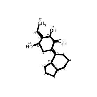 C=C1C(=C2CCCC3CCCC23)CC(O)C(=CC)C1O